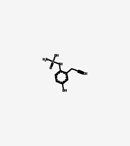 C#CCc1cc(O)ccc1NP(N)(=O)O